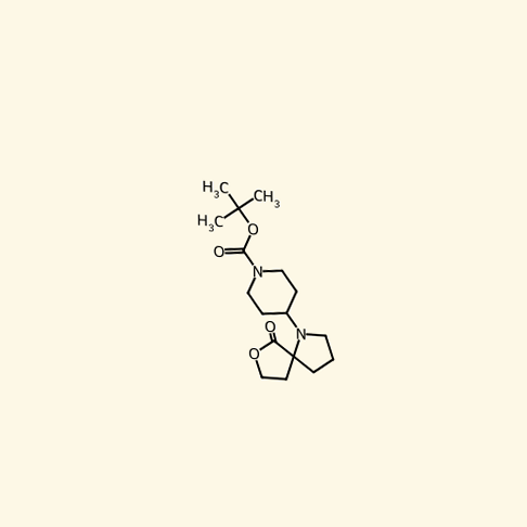 CC(C)(C)OC(=O)N1CCC(N2CCCC23CCOC3=O)CC1